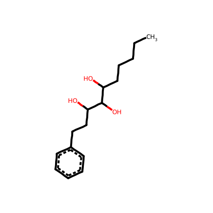 CCCCCC(O)C(O)C(O)CCc1ccccc1